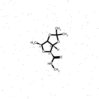 CNC(=O)[C@H]1O[C@@H](C)C2OC(C)(C)O[C@@H]21